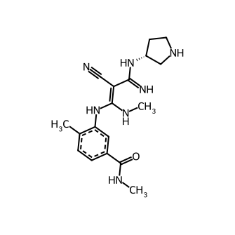 CNC(=O)c1ccc(C)c(N/C(NC)=C(\C#N)C(=N)N[C@@H]2CCNC2)c1